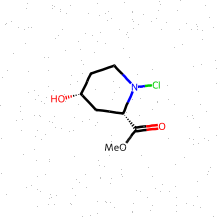 COC(=O)[C@@H]1C[C@H](O)CCN1Cl